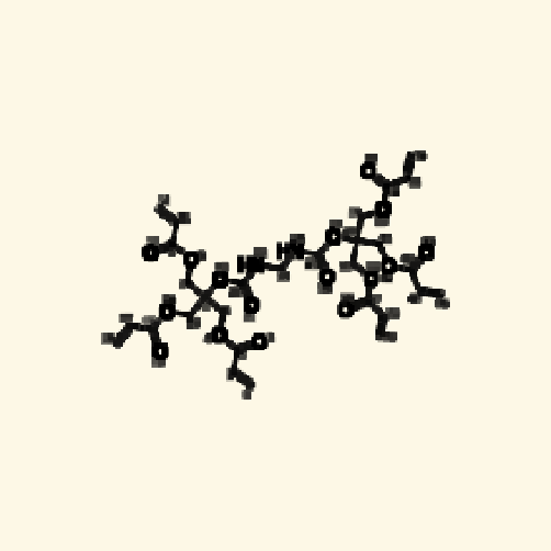 C=CC(=O)OCC(COC(=O)C=C)(COC(=O)C=C)OC(=O)NCNC(=O)OC(COC(=O)C=C)(COC(=O)C=C)COC(=O)C=C